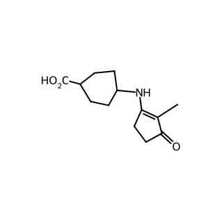 CC1=C(NC2CCC(C(=O)O)CC2)CCC1=O